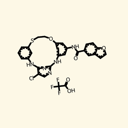 O=C(Nc1cc2cc(c1)OCCSc1cccc(c1)Nc1nc(ncc1Cl)N2)c1ccc2occc2c1.O=C(O)C(F)(F)F